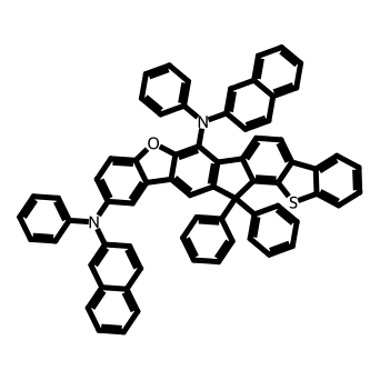 c1ccc(N(c2ccc3ccccc3c2)c2ccc3oc4c(N(c5ccccc5)c5ccc6ccccc6c5)c5c(cc4c3c2)C(c2ccccc2)(c2ccccc2)c2c-5ccc3c2sc2ccccc23)cc1